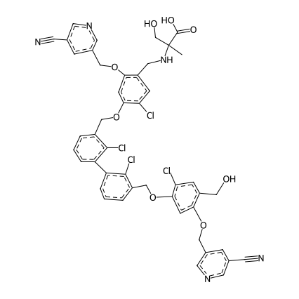 CC(CO)(NCc1cc(Cl)c(OCc2cccc(-c3cccc(COc4cc(OCc5cncc(C#N)c5)c(CO)cc4Cl)c3Cl)c2Cl)cc1OCc1cncc(C#N)c1)C(=O)O